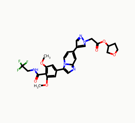 COc1cc(-c2cnc3cc(-c4cnn(CC(=O)OC5CCOC5)c4)ccn23)cc(OC)c1C(=O)NCC(F)(F)F